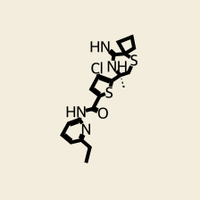 CCc1cccc(NC(=O)c2cc(Cl)c([C@]3(C)CSC4(CCC4)C(=N)N3)s2)n1